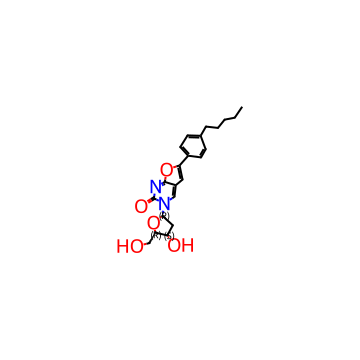 CCCCCc1ccc(-c2cc3cn([C@H]4C[C@H](O)[C@@H](CO)O4)c(=O)nc3o2)cc1